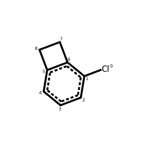 Clc1cccc2c1C[CH]2